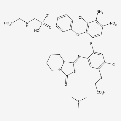 C[S+](C)C.Nc1c([N+](=O)[O-])ccc(Oc2ccccc2)c1Cl.O=C(O)CNCP(=O)([O-])O.O=C(O)CSc1cc(N=c2sc(=O)n3n2CCCC3)c(F)cc1Cl